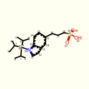 CC(C)[Si](C(C)C)(C(C)C)n1ccc2cc(CCCS(=O)(=O)O)ccc21